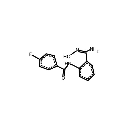 N/C(=N/O)c1ccccc1NC(=O)c1ccc(F)cc1